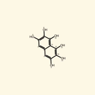 Oc1cc2cc(O)c(O)c(O)c2c(O)c1O